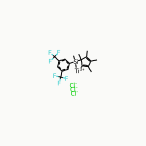 CC1=C(C)C(C)([Si](C)(C)c2cc(C(F)(F)F)cc(C(F)(F)F)c2)[C]([Ti+3])=C1C.[Cl-].[Cl-].[Cl-]